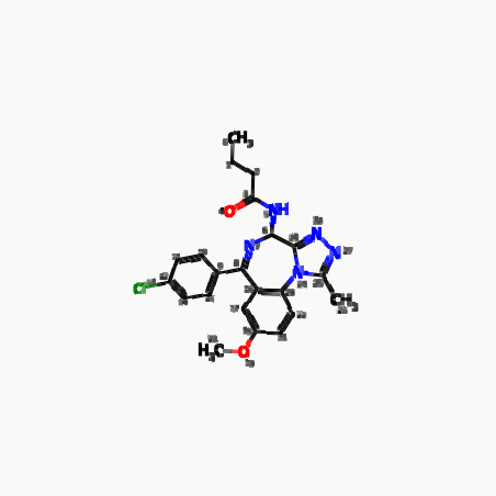 CCCC(=O)N[C@@H]1N=C(c2ccc(Cl)cc2)c2cc(OC)ccc2-n2c(C)nnc21